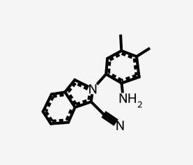 Cc1cc(N)c(-n2cc3ccccc3c2C#N)cc1C